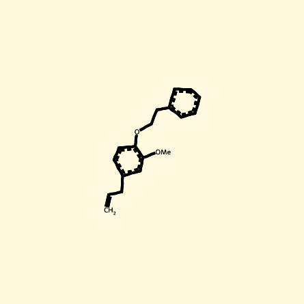 C=CCc1ccc(OCCc2ccccc2)c(OC)c1